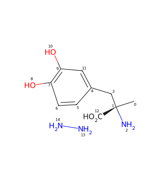 C[C@](N)(Cc1ccc(O)c(O)c1)C(=O)O.NN